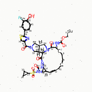 CC(C)(C)COC(=O)N[C@H]1CCCCC/C=C\[C@H]2C[C@@]2(C(=O)NS(=O)(=O)C2CC2)NC(=O)[C@@H]2[C@H]3CN(C(=O)c4csc(-c5ccc(O)c(F)c5)n4)C[C@H]3CN2C1=O